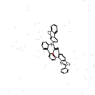 c1ccc(-c2nc3c(ccc4cc(N(c5ccc6c(c5)oc5ccccc56)c5ccccc5-c5ccccc5)ccc43)o2)cc1